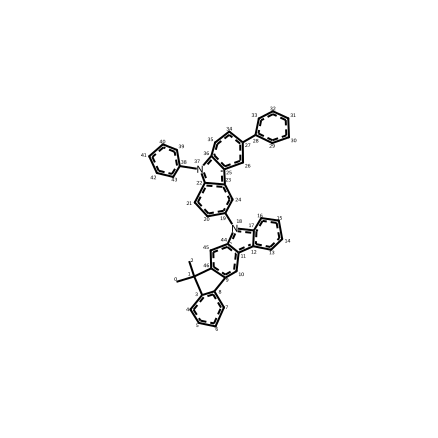 CC1(C)c2ccccc2-c2cc3c4ccccc4n(-c4ccc5c(c4)c4cc(-c6ccccc6)ccc4n5-c4ccccc4)c3cc21